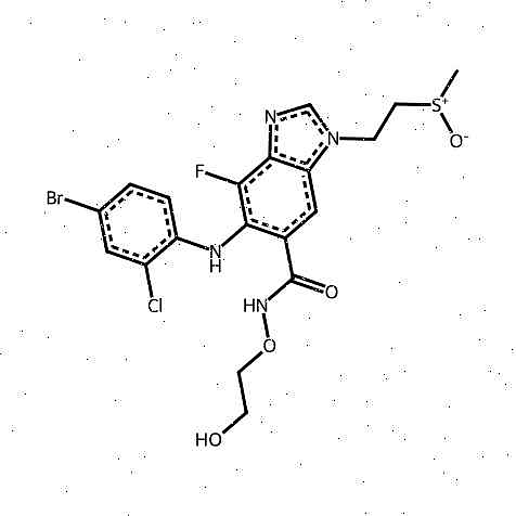 C[S+]([O-])CCn1cnc2c(F)c(Nc3ccc(Br)cc3Cl)c(C(=O)NOCCO)cc21